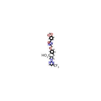 O=C(O)[C@H]1CN(c2nccc(C(F)(F)F)n2)C[C@H]1Cc1ccc(OCc2noc(-c3ccc4c(c3)OCO4)n2)cc1